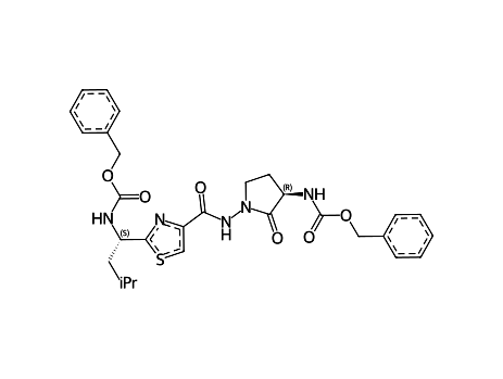 CC(C)C[C@H](NC(=O)OCc1ccccc1)c1nc(C(=O)NN2CC[C@@H](NC(=O)OCc3ccccc3)C2=O)cs1